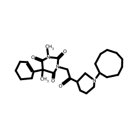 CN1C(=O)N(CC(=O)C2CCCN(C3CCCCCCCC3)C2)C(=O)C(C)(C2=CCCCC2)C1=O